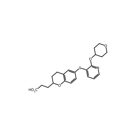 O=C(O)CCC1CCc2cc(Sc3cccnc3OC3CCOCC3)ccc2O1